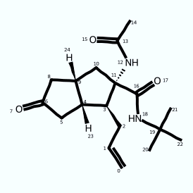 C=CC[C@H]1[C@@H]2CC(=O)C[C@@H]2C[C@@]1(NC(C)=O)C(=O)NC(C)(C)C